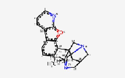 Cc1ccc2c(oc3ncccc32)c1C12CC3CN(CN(C3)[C@@H]1C)C2